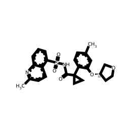 Cc1ccc(C2(C(=O)NS(=O)(=O)c3cccc4nc(C)ccc34)CC2)c(O[C@H]2CCOC2)c1